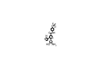 N[C@H]1CN(c2ncc(C(=O)Nc3ccc(OC(F)(F)Cl)cc3)cc2-c2ccn[nH]2)C[C@@H]1O